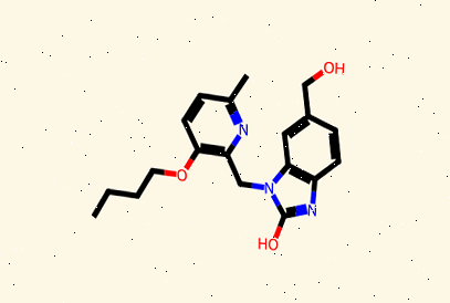 CCCCOc1ccc(C)nc1Cn1c(O)nc2ccc(CO)cc21